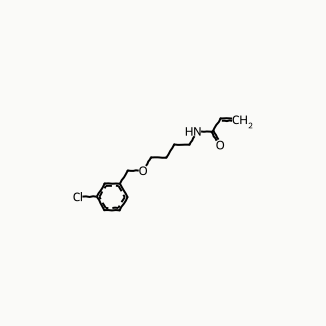 C=CC(=O)NCCCCOCc1cccc(Cl)c1